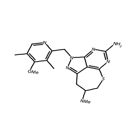 CNC1CSc2nc(N)nc3c2c(nn3Cc2ncc(C)c(OC)c2C)C1